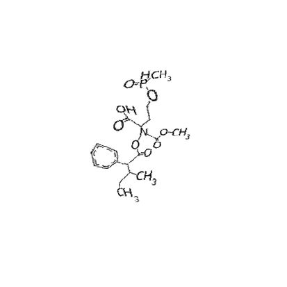 CCC(C)C(C(=O)ON(C(=O)OC)C(CCO[PH](C)=O)C(=O)O)c1ccccc1